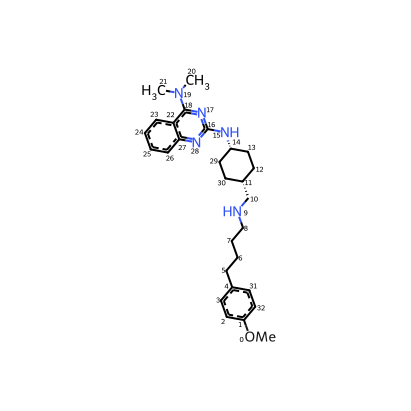 COc1ccc(CCCCNC[C@H]2CC[C@@H](Nc3nc(N(C)C)c4ccccc4n3)CC2)cc1